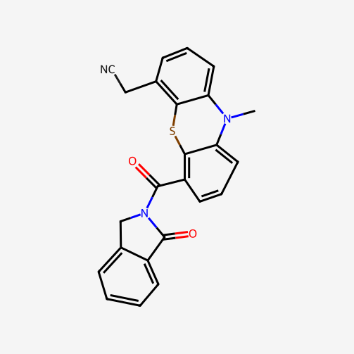 CN1c2cccc(CC#N)c2Sc2c(C(=O)N3Cc4ccccc4C3=O)cccc21